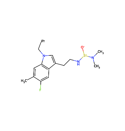 Cc1cc2c(cc1F)c(CCN[S+]([O-])N(C)C)cn2CC(C)C